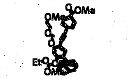 CCOC(OC)Oc1cc(OCOCCOC)c(C#Cc2ccc(C(=O)OC)cc2)cc1C12CC3CC(CC(C3)C1)C2